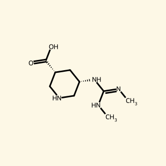 C/N=C(\NC)N[C@@H]1CNC[C@H](C(=O)O)C1